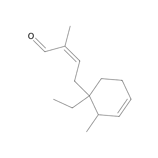 CCC1(CC=C(C)C=O)CCC=CC1C